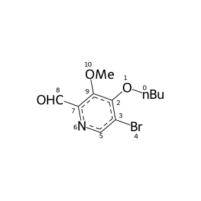 CCCCOc1c(Br)cnc(C=O)c1OC